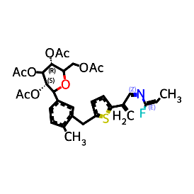 C=C(/C=N\C(F)=C/C)c1ccc(Cc2cc(C3OC(COC(C)=O)[C@@H](OC(C)=O)C(OC(C)=O)[C@H]3OC(C)=O)ccc2C)s1